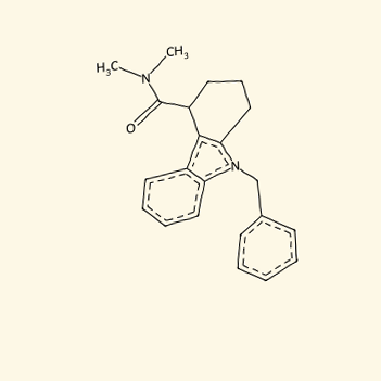 CN(C)C(=O)C1CCCc2c1c1ccccc1n2Cc1ccccc1